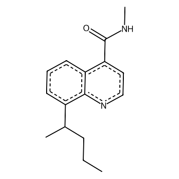 CCCC(C)c1cccc2c(C(=O)NC)ccnc12